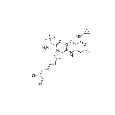 CCC[C@@H](NC(=O)[C@H]1C[C@@H](O/C=C/C=C(/Cl)C=N)CN1C(=O)[C@H](N)C(C)(C)C)C(=O)C(=O)NC1CC1